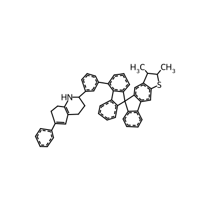 CC1Sc2cc3c(cc2C1C)C1(c2ccccc2-3)c2ccccc2-c2c(-c3cccc(C4CCC5=C(CCC(c6ccccc6)=C5)N4)c3)cccc21